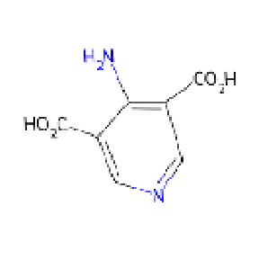 Nc1c(C(=O)O)cncc1C(=O)O